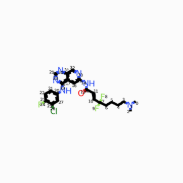 CN(C)CCCCC(F)(F)C=CC(=O)Nc1cc2c(Nc3ccc(F)c(Cl)c3)ncnc2cn1